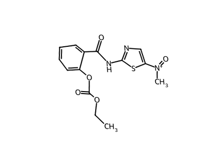 CCOC(=O)Oc1ccccc1C(=O)Nc1ncc([N+](C)=O)s1